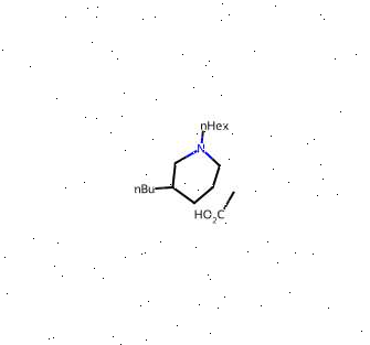 CC(=O)O.CCCCCCN1CCCC(CCCC)C1